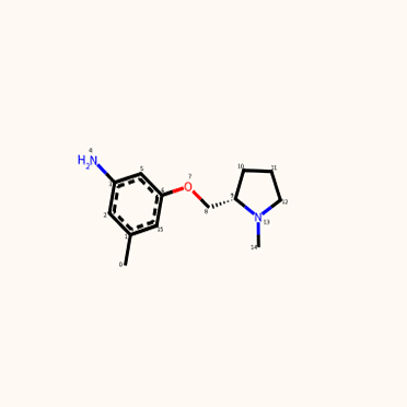 Cc1cc(N)cc(OC[C@@H]2CCCN2C)c1